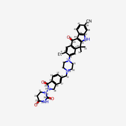 CCc1cc2c(cc1N1CCN(Cc3ccc4c(c3)CN(N3CCC(=O)NC3=O)C4=O)CC1)C(C)(C)c1[nH]c3cc(C#N)ccc3c1C2=O